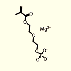 C=C(C)C(=O)OCCOCCOP(=O)([O-])[O-].[Mg+2]